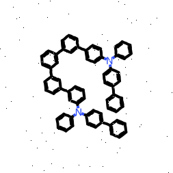 c1ccc(-c2ccc(N(c3ccccc3)c3ccc(-c4cccc(-c5cccc(-c6cccc(-c7cccc(N(c8ccccc8)c8ccc(-c9ccccc9)cc8)c7)c6)c5)c4)cc3)cc2)cc1